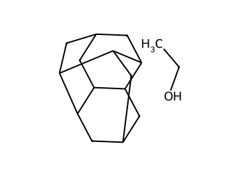 C1C2CC3C4CC5CC(C14)C(C2)C3C5.CCO